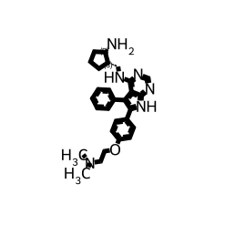 CN(C)CCOc1ccc(-c2[nH]c3ncnc(NC[C@@H]4CCC[C@H]4N)c3c2-c2ccccc2)cc1